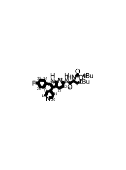 CC(C)(C)CC(NC(=O)OC(C)(C)C)C(=O)Nc1ccc2c(-c3ccncc3)c(-c3ccc(F)cc3)[nH]c2n1